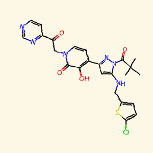 CC(C)(C)C(=O)n1nc(-c2ccn(CC(=O)c3ccncn3)c(=O)c2O)cc1NCc1ccc(Cl)s1